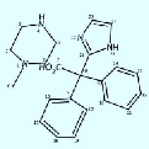 CN1CCNCC1.O=C(O)C(c1ccccc1)(c1ccccc1)c1ncc[nH]1